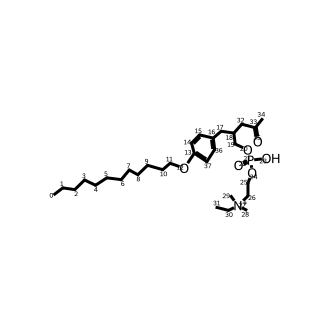 CCCCCCCCCCCCOc1ccc(CC(COP(=O)(O)OCC[N+](C)(C)CC)CC(C)=O)cc1